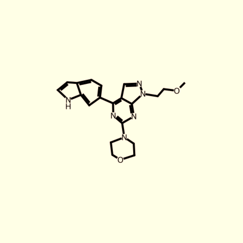 COCCn1ncc2c(-c3ccc4cc[nH]c4c3)nc(N3CCOCC3)nc21